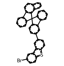 Brc1ccc2sc3ccc(-c4ccc5c(c4)-c4ccccc4C54c5ccccc5-c5ccc6ccccc6c54)cc3c2c1